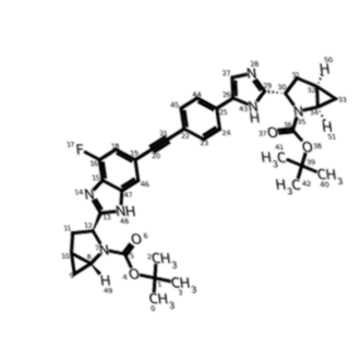 CC(C)(C)OC(=O)N1[C@@H]2CC2C[C@H]1c1nc2c(F)cc(C#Cc3ccc(-c4cnc([C@@H]5C[C@H]6C[C@H]6N5C(=O)OC(C)(C)C)[nH]4)cc3)cc2[nH]1